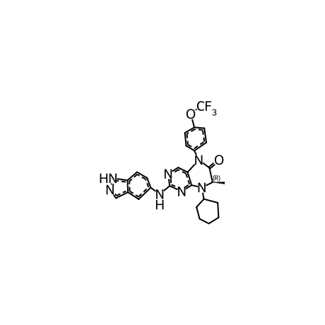 C[C@@H]1C(=O)N(c2ccc(OC(F)(F)F)cc2)c2cnc(Nc3ccc4[nH]ncc4c3)nc2N1C1CCCCC1